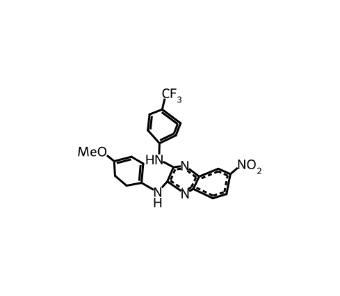 COC1=CC=C(Nc2nc3ccc([N+](=O)[O-])cc3nc2NC2=C=C=C(C(F)(F)F)C=C2)CC1